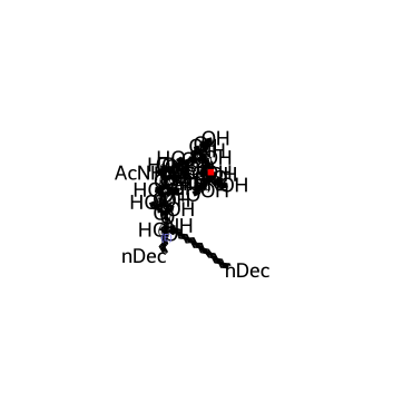 CCCCCCCCCCCCC/C=C/[C@@H](O)[C@H](CO[C@@H]1OC(CO)[C@@H](O[C@@H]2OC(CO)[C@H](O)[C@H](O[C@@H]3OC(CO)[C@@H](O[C@@H]4OC(CO)[C@H](O)[C@H](O[C@]5(C(=O)O)CC(O)[C@@H](NC(=O)CO)C([C@H](O)[C@@H](CO)O[C@]6(C(=O)O)CC(O)[C@@H](NC(=O)CO)C([C@H](O)[C@H](O)CO)O6)O5)C4O)[C@H](O)C3NC(C)=O)C2O)[C@H](O)C1O)NC(=O)CCCCCCCCCCCCCCCCCCCCCCCCC